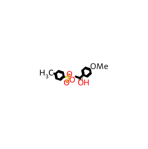 COc1ccc([C@@H](O)COS(=O)(=O)c2ccc(C)cc2)cc1